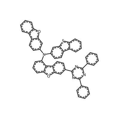 c1ccc(-c2nc(-c3ccccc3)nc(-c3ccc4c(c3)oc3cccc(N(c5ccc6c(c5)oc5ccccc56)c5ccc6c(c5)sc5ccccc56)c34)n2)cc1